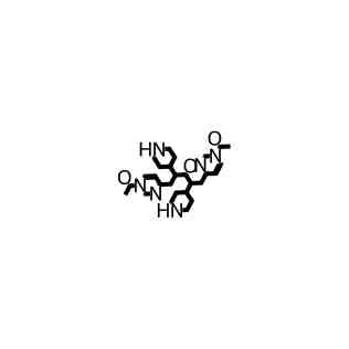 CC(=O)N1C=CC(CC(C(=O)C(CC2=NCN(C(C)=O)C=C2)C2CCNCC2)C2CCNCC2)=NC1